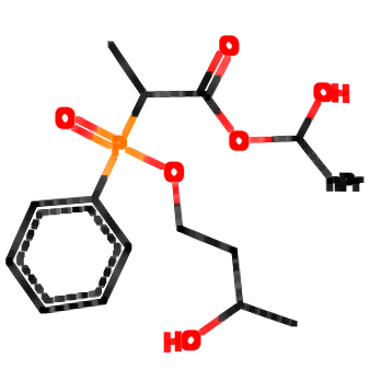 CCCC(O)OC(=O)C(C)P(=O)(OCCC(C)O)c1ccccc1